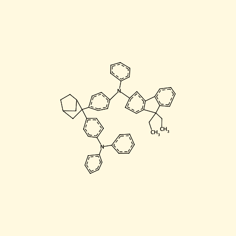 CCC1(CC)c2ccccc2-c2cc(N(c3ccccc3)c3ccc(C4(c5ccc(N(c6ccccc6)c6ccccc6)cc5)CC5CCC4C5)cc3)ccc21